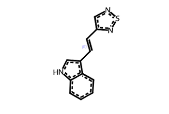 C(=C\c1c[nH]c2ccccc12)/c1cnsn1